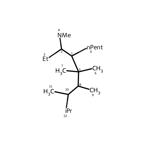 CCCCCC(C(CC)NC)C(C)(C)C(C)C(C)C(C)C